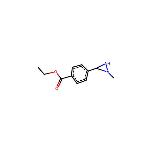 CCOC(=O)c1ccc(C2NN2C)cc1